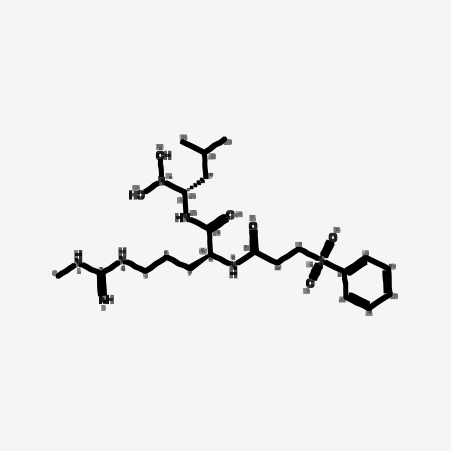 CNC(=N)NCCC[C@H](NC(=O)CCS(=O)(=O)c1ccccc1)C(=O)N[C@@H](CC(C)C)B(O)O